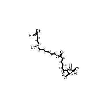 CCN(CC)CCCN(CC)CCCCCCOC(=O)CCCCC1SCC2NC(=O)NC21